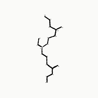 CCCC(C)CCCN(CC)CCCC(C)CCC